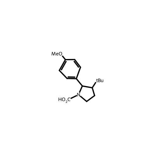 COc1ccc(C2C(C(C)(C)C)CCN2C(=O)O)cc1